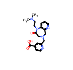 CN(C)CCN1C(=O)CN(Cc2cc(C(=O)O)ccn2)Cc2ncccc21